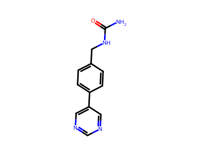 NC(=O)NCc1ccc(-c2cncnc2)cc1